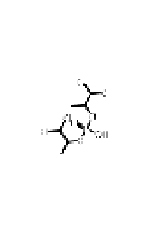 CC(OP(=O)(O)OC(C)C(Cl)Cl)C(Cl)Cl